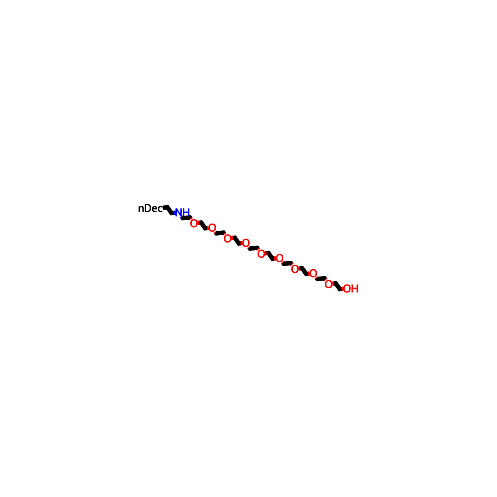 CCCCCCCCCCCCNCCOCCOCCOCCOCCOCCOCCOCCOCCOCCO